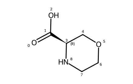 O=C(O)[C@H]1COCCN1